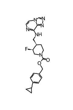 O=C(OCc1ccc(C2CC2)cc1)N1CC[C@H](CNc2nccn3cnnc23)[C@H](F)C1